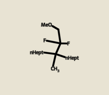 CCCCCCCC(C)(CCCCCCC)C(F)(F)COC